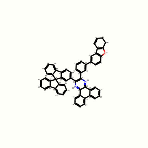 C1=Cc2c(oc3ccc(-c4cccc(-c5nc6c7ccccc7c7ccccc7c6nc5-c5ccc6c(c5)C5(c7ccccc7-c7ccccc75)c5ccccc5-6)c4)cc23)CC1